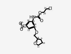 O=C(Nc1cc(OCC2CCCO2)cc([N+](=O)[O-])c1)OCCCl